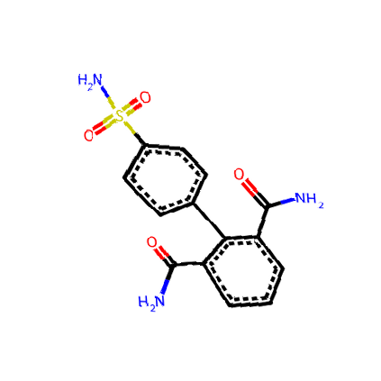 NC(=O)c1cccc(C(N)=O)c1-c1ccc(S(N)(=O)=O)cc1